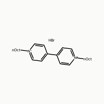 Br.CCCCCCCC[n+]1ccc(-c2cc[n+](CCCCCCCC)cc2)cc1